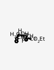 CCOC(=O)/C=C/c1ccc(F)c(F)c1C(C)OC[C@H](O)CNC(C)(C)CC1Cc2ccccc2C1